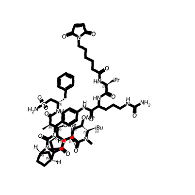 CC[C@H](C)[C@@H](C(CC(=O)N1CCC[C@H]1[C@H](OC)[C@@H](C)C(=O)N[C@@H](Cc1ccccc1)CS(N)(=O)=O)OC)N(C)C(=O)[C@@H](NC(=O)C1[C@H]2CC[C@H](C2)N1C(=O)OCc1ccc(NC(=O)C(CCCNC(N)=O)NC(=O)[C@@H](NC(=O)CCCCCN2C(=O)C=CC2=O)C(C)C)cc1)C(C)C